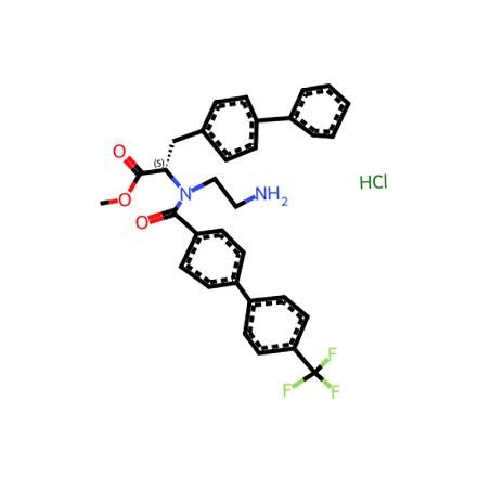 COC(=O)[C@H](Cc1ccc(-c2ccccc2)cc1)N(CCN)C(=O)c1ccc(-c2ccc(C(F)(F)F)cc2)cc1.Cl